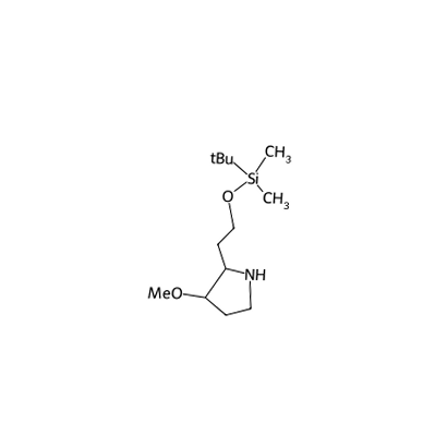 COC1CCNC1CCO[Si](C)(C)C(C)(C)C